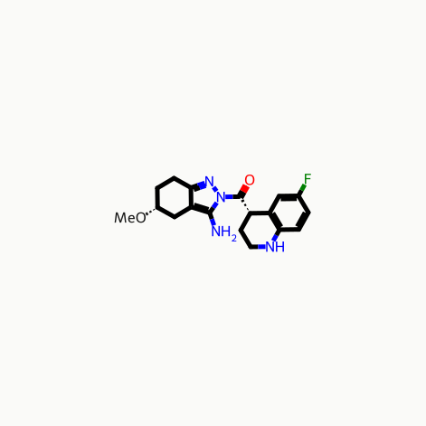 CO[C@@H]1CCc2nn(C(=O)[C@H]3CCNc4ccc(F)cc43)c(N)c2C1